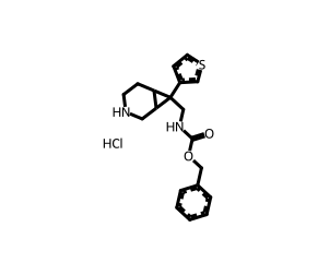 Cl.O=C(NCC1(c2ccsc2)C2CCNCC21)OCc1ccccc1